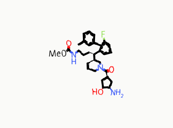 COC(=O)NCCC[C@H](c1cccc(F)c1-c1cccc(C)c1)[C@@H]1CCCN(C(=O)[C@H]2C[C@@H](N)[C@@H](O)C2)C1